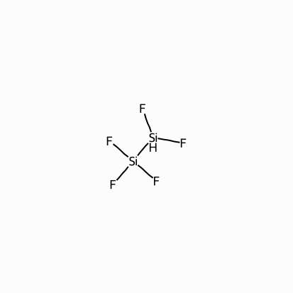 F[SiH](F)[Si](F)(F)F